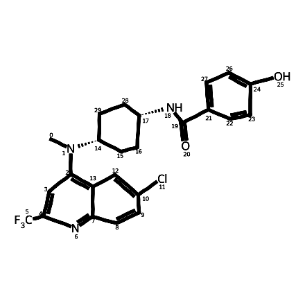 CN(c1cc(C(F)(F)F)nc2ccc(Cl)cc12)[C@H]1CC[C@@H](NC(=O)c2ccc(O)cc2)CC1